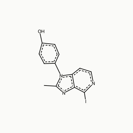 Cc1nc2c(I)nccc2n1-c1ccc(O)cc1